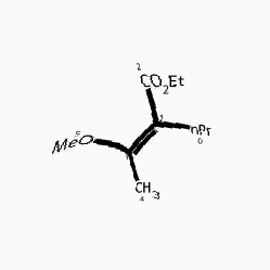 CCC/C(C(=O)OCC)=C(\C)OC